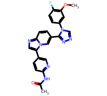 COc1cc(-n2cnnc2-c2ccc3ncc(-c4ccc(NC(C)=O)nc4)n3c2)ccc1F